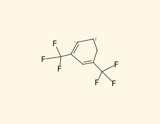 FC(F)(F)C1=[C][C]CC(C(F)(F)F)=C1